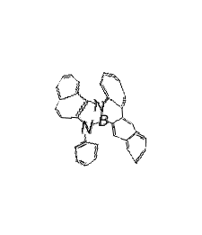 c1ccc(N2B3c4cc5ccccc5cc4-c4ccccc4N3c3c2ccc2ccccc32)cc1